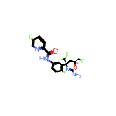 NC1=N[C@@](c2cc(NC(=O)c3ccc(F)cn3)ccc2F)(C(F)F)C[C@@H](CF)O1